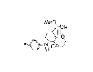 COC(O)C1CC[C@@H](Nc2ccc(F)cc2)C2(O)CCCO[C@H]12